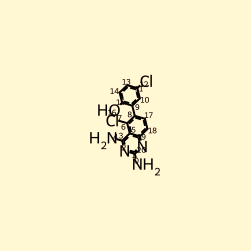 Nc1nc(N)c2c(Cl)c(-c3cc(Cl)ccc3O)ccc2n1